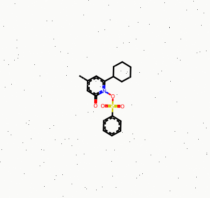 Cc1cc(C2CCCCC2)n(OS(=O)(=O)c2ccccc2)c(=O)c1